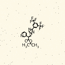 CC(C)OC(=O)/C(=C/n1cnc(-c2cc(C(F)(F)F)cc(C(F)(F)F)c2)n1)c1cccnc1